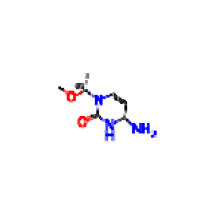 CO[C@H](C)N1C=CC(N)NC1=O